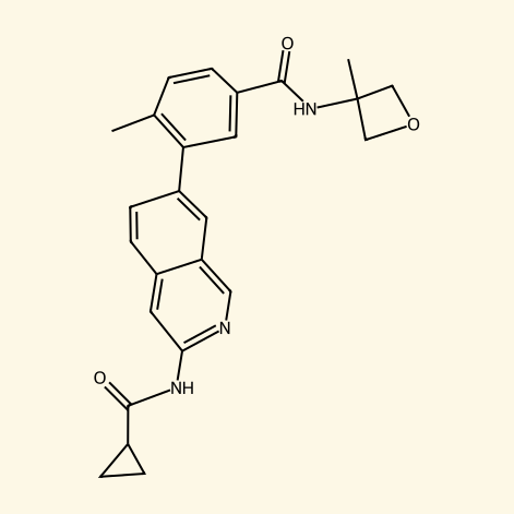 Cc1ccc(C(=O)NC2(C)COC2)cc1-c1ccc2cc(NC(=O)C3CC3)ncc2c1